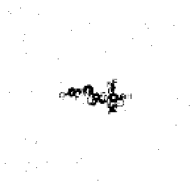 O=C(O)c1cc(OCC(F)F)c2nc(Cc3c(F)cc(-c4cccc(OCc5ccc(Cl)cc5F)n4)c4c3CCO4)n(CC3(CF)CC3)c2c1